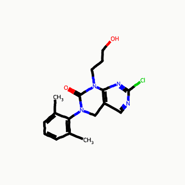 Cc1cccc(C)c1N1Cc2cnc(Cl)nc2N(CCCO)C1=O